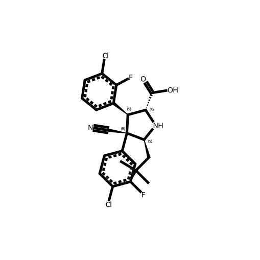 CC(C)(C)C[C@@H]1N[C@@H](C(=O)O)[C@H](c2cccc(Cl)c2F)[C@@]1(C#N)c1ccc(Cl)c(F)c1